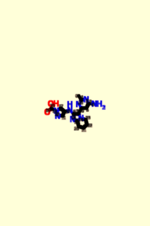 Cc1nc(N)cc(-c2c(Nc3cnn(C(=O)O)c3)nc3ccccn23)n1